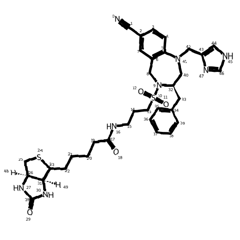 N#Cc1ccc2c(c1)CN(S(=O)(=O)CCCNC(=O)CCCCC1SC[C@@H]3NC(=O)N[C@H]13)[C@H](Cc1ccccc1)CN2Cc1c[nH]cn1